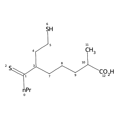 CCCC(=S)C(CCS)CCCC(C)C(=O)O